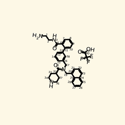 NCCNC(=O)c1ccccc1-c1cccc(CN(Cc2cccc3ccccc23)C(=O)C2CCNCC2)c1.O=C(O)C(F)(F)F